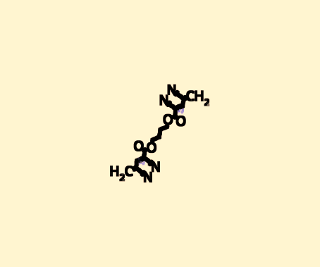 C=C(C#N)/C=C(\C#N)C(=O)OCCCCOC(=O)/C(C#N)=C/C(=C)C#N